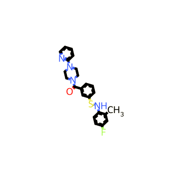 Cc1cc(F)ccc1NSc1cccc(C(=O)N2CCN(c3ccccn3)CC2)c1